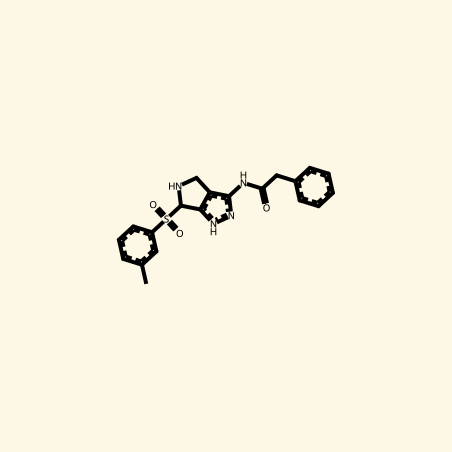 Cc1cccc(S(=O)(=O)C2NCc3c(NC(=O)Cc4ccccc4)n[nH]c32)c1